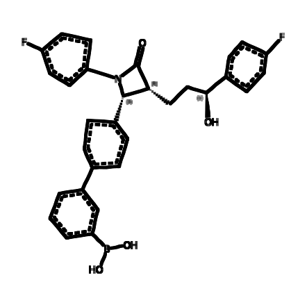 O=C1[C@H](CC[C@H](O)c2ccc(F)cc2)[C@H](c2ccc(-c3cccc(B(O)O)c3)cc2)N1c1ccc(F)cc1